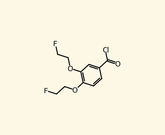 O=C(Cl)c1ccc(OCCF)c(OCCF)c1